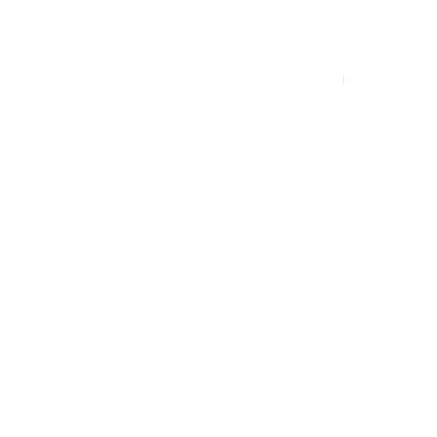 Brc1ccc2cc(-c3c4ccccc4c(-c4cccc5oc6ccccc6c45)c4ccccc34)ccc2c1